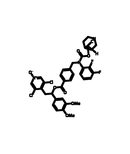 COc1ccc(C(Cc2c(Cl)c[n+]([O-])cc2Cl)OC(=O)c2ccc(CN(C(=O)O[C@H]3CN4CCC3CC4)c3cccc(F)c3F)cc2)cc1OC